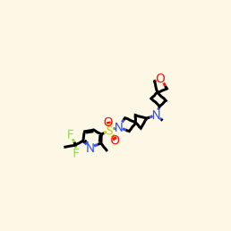 Cc1nc(C(C)(F)F)ccc1S(=O)(=O)N1CC2(CC(N(C)C3CC4(COC4)C3)C2)C1